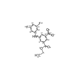 CCOC(=O)c1cc(Nc2cc(F)cc(F)c2)cc([N+](=O)[O-])c1